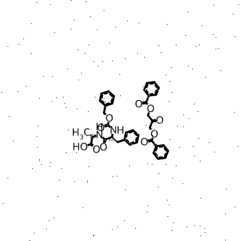 C[C@H](NC(=O)[C@H](Cc1ccccc1)NC(=O)OCc1ccccc1)C(=O)O.O=C(COC(=O)c1ccccc1)COC(=O)c1ccccc1